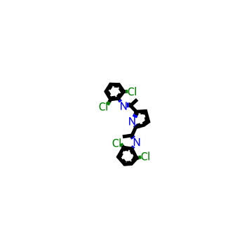 CC(=Nc1c(Cl)cccc1Cl)c1cccc(C(C)=Nc2c(Cl)cccc2Cl)n1